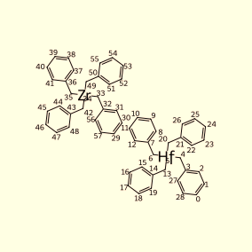 c1ccc([CH2][Hf]([CH2]c2ccccc2)([CH2]c2ccccc2)[CH2]c2ccccc2)cc1.c1ccc([CH2][Zr]([CH2]c2ccccc2)([CH2]c2ccccc2)[CH2]c2ccccc2)cc1